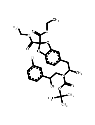 CCOC(=O)C1(C(=O)OCC)Oc2ccc(CC(C)N(CC(O)c3cccc(Cl)c3)C(=O)OC(C)(C)C)cc2O1